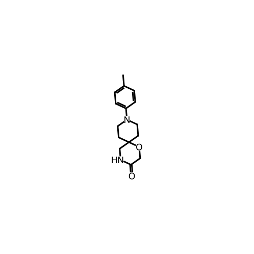 Cc1ccc(N2CCC3(CC2)CNC(=O)CO3)cc1